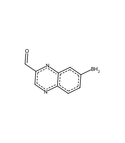 Bc1ccc2ncc(C=O)nc2c1